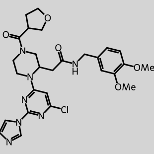 COc1ccc(CNC(=O)CC2CN(C(=O)C3CCOC3)CCN2c2cc(Cl)nc(-n3ccnc3)n2)cc1OC